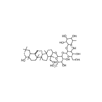 CC1OC(OC2C(OC3C(OC4CCC5(C)C(CCC6(C)C5CC=C5C7CC(C)(C)CC(O)C7(C)CCC56C)C4(C)CO)OC(C(=O)O)C(O)C3O)OC(CO)C(O)C2O)C(O)C(O)C1O